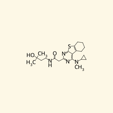 CN(c1nc(CC(=O)NCCC(C)(C)O)nc2sc3c(c12)CCCC3)C1CC1